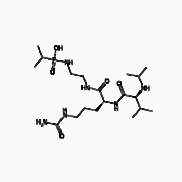 CC(C)N[C@H](C(=O)N[C@@H](CCCNC(N)=O)C(=O)NCCNP(=O)(O)C(C)C)C(C)C